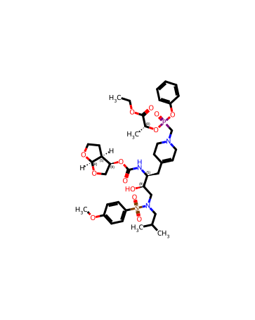 CCOC(=O)[C@@H](C)OP(=O)(CN1CC=C(C[C@H](NC(=O)O[C@H]2CO[C@H]3OCC[C@H]32)[C@H](O)CN(CC(C)C)S(=O)(=O)c2ccc(OC)cc2)CC1)Oc1ccccc1